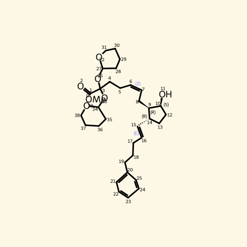 COC(=O)C(CC/C=C\C[C@H]1[C@@H](O)CC[C@@H]1/C=C/CCCc1ccccc1)(OC1CCCCO1)OC1CCCCO1